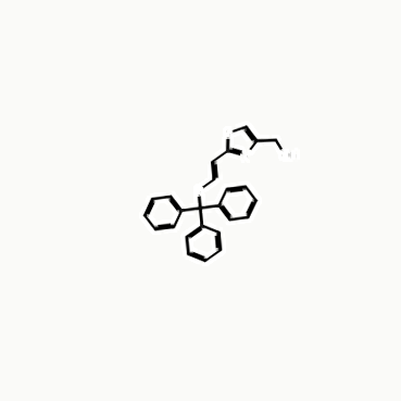 OCc1csc(C=CSC(c2ccccc2)(c2ccccc2)c2ccccc2)n1